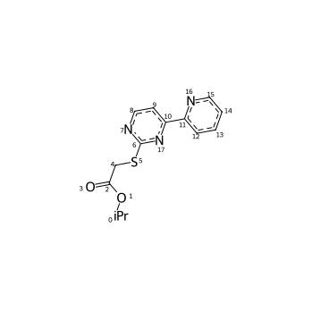 CC(C)OC(=O)CSc1nccc(-c2ccccn2)n1